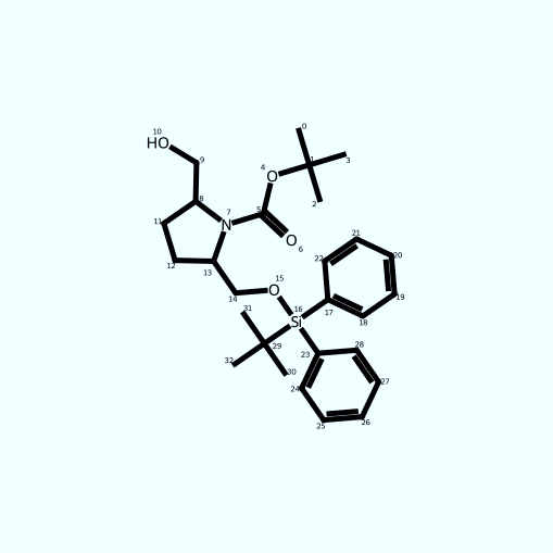 CC(C)(C)OC(=O)N1C(CO)CCC1CO[Si](c1ccccc1)(c1ccccc1)C(C)(C)C